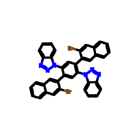 Brc1cc2ccccc2cc1-c1cc(-n2nnc3ccccc32)c(-c2cc3ccccc3cc2Br)cc1-n1nnc2ccccc21